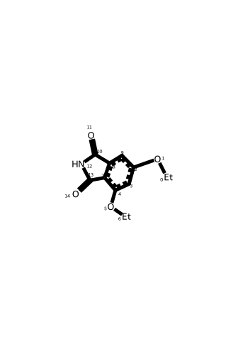 CCOc1cc(OCC)c2c(c1)C(=O)NC2=O